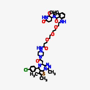 Cc1sc2c(c1C)C(c1ccc(Cl)cc1)=N[C@@H](CC(=O)N1CCN(NC(=O)CCOCCOCCOCCNc3cccc(C=O)c3C(=O)N(C)C3CCC(=O)NC3=O)CC1)c1nnc(C)n1-2